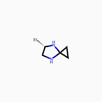 CC[C@H]1CNC2(CC2)N1